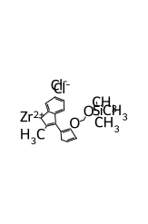 CC1=C(C2=C(OCO[Si](C)(C)C)C=CC2)c2ccccc2[CH]1[Zr+2].[Cl-].[Cl-]